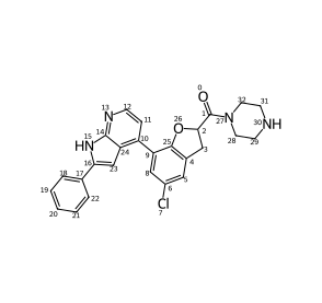 O=C(C1Cc2cc(Cl)cc(-c3ccnc4[nH]c(-c5ccccc5)cc34)c2O1)N1CCNCC1